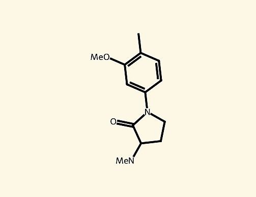 CNC1CCN(c2ccc(C)c(OC)c2)C1=O